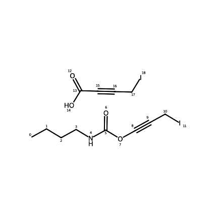 CCCCNC(=O)OC#CCI.O=C(O)C#CCI